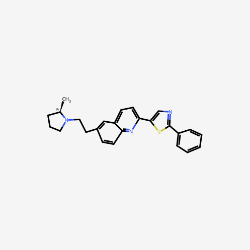 C[C@@H]1CCCN1CCc1ccc2nc(-c3cnc(-c4ccccc4)s3)ccc2c1